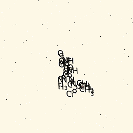 CC1CN(c2ccc(C(=O)NS(=O)(=O)c3cc(F)c(NCC4CCOCC4)c([N+](=O)[O-])c3)c(Oc3cnc4[nH]ccc4c3)c2)CCN1CC1=C(c2ccc(Cl)cc2)CC(C)(C)C(C)(C)C1